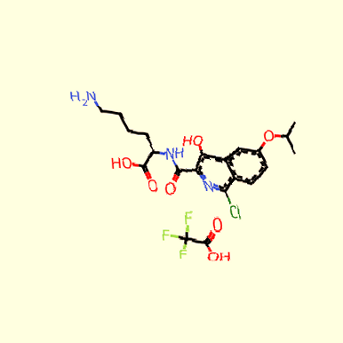 CC(C)Oc1ccc2c(Cl)nc(C(=O)N[C@H](CCCCN)C(=O)O)c(O)c2c1.O=C(O)C(F)(F)F